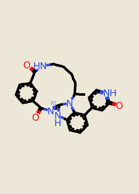 CC1CCCCNC(=O)c2cccc(c2)C(=O)/N=C2\Nc3cccc(-c4cc[nH]c(=O)c4)c3N21